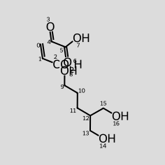 C=CC(=O)O.O=CC(=O)O.OCCCC(CO)CO